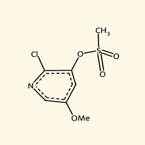 COc1cnc(Cl)c(OS(C)(=O)=O)c1